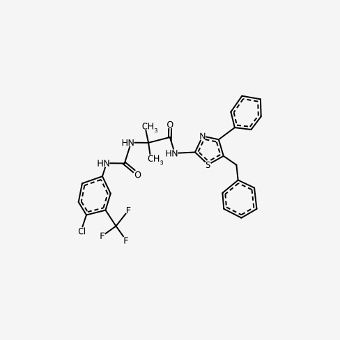 CC(C)(NC(=O)Nc1ccc(Cl)c(C(F)(F)F)c1)C(=O)Nc1nc(-c2ccccc2)c(Cc2ccccc2)s1